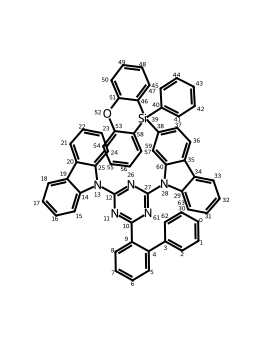 c1ccc(-c2ccccc2-c2nc(-n3c4ccccc4c4ccccc43)nc(-n3c4ccccc4c4ccc([Si]5(c6ccccc6)c6ccccc6Oc6ccccc65)cc43)n2)cc1